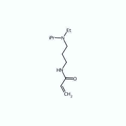 C=CC(=O)NCCCN(CC)C(C)C